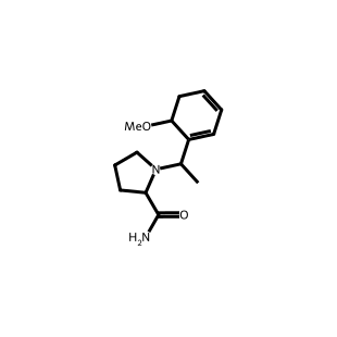 COC1CC=CC=C1C(C)N1CCCC1C(N)=O